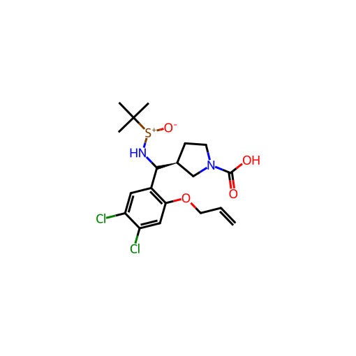 C=CCOc1cc(Cl)c(Cl)cc1C(N[S+]([O-])C(C)(C)C)[C@H]1CCN(C(=O)O)C1